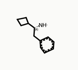 [NH][C@H](Cc1ccccc1)C1CCC1